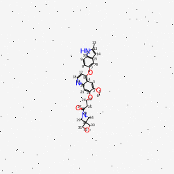 COc1cc2c(Oc3ccc4[nH]c(C)cc4c3)ccnc2cc1OCCC(=O)N1CC2(COC2)C1